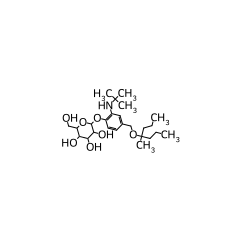 CCCC(C)(CCC)OCc1ccc(OC2OC(CO)C(O)C(O)C2O)c(NC(C)(C)C)c1